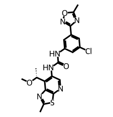 CO[C@H](C)c1c(NC(=O)Nc2cc(Cl)cc(-c3noc(C)n3)c2)cnc2sc(C)nc12